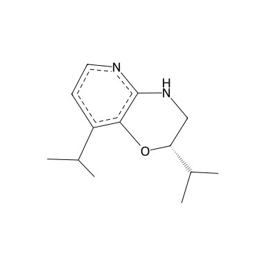 CC(C)c1ccnc2c1O[C@@H](C(C)C)CN2